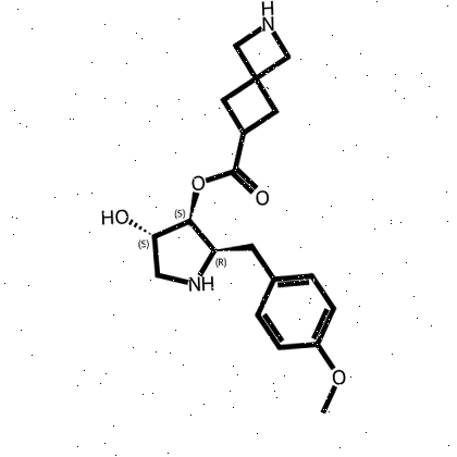 COc1ccc(C[C@H]2NC[C@H](O)[C@H]2OC(=O)C2CC3(CNC3)C2)cc1